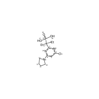 CCC(CC)(c1nc(Cl)cc(N2CCCC2)n1)P(=O)(O)O